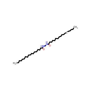 CCCCCCCCCCCCCCCCCC(=O)NCNC(=O)CCCCCCCCCCCCCCCCC